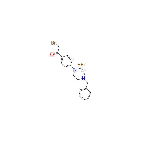 Br.O=C(CBr)c1ccc(N2CCN(Cc3ccccc3)CC2)cc1